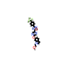 COCCn1[c]cc2ccc(Oc3cnc(-c4nc(-c5ccc(C(F)(F)F)cc5)no4)cn3)cc21